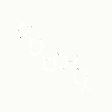 CC1(C)CCN(C(=O)c2cnc3c(ccn3-c3ccc(-c4nnc[nH]4)cc3)c2)CC1